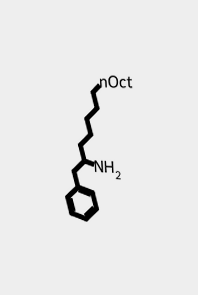 CCCCCCCCCCCCCC(N)Cc1ccccc1